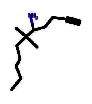 C#CCCC(N)C(C)(C)CCCCC